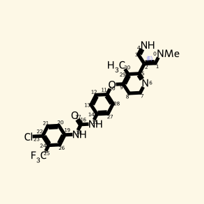 CN/C=C(\C=N)C1=NCCC(Oc2ccc(NC(=O)Nc3ccc(Cl)c(C(F)(F)F)c3)cc2)=C1C